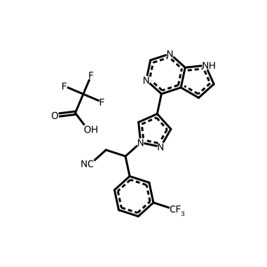 N#CCC(c1cccc(C(F)(F)F)c1)n1cc(-c2ncnc3[nH]ccc23)cn1.O=C(O)C(F)(F)F